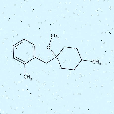 COC1(Cc2ccccc2C)CCC(C)CC1